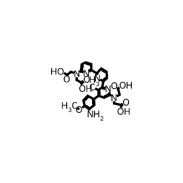 COc1ccc(-c2cc(N(CC(=O)O)CC(=O)O)nc(-c3cccc(-c4cccc(N(CC(=O)O)CC(=O)O)n4)n3)c2C)cc1N